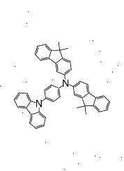 CC1(C)c2ccccc2-c2cc(N(c3ccc(-n4c5ccccc5c5ccccc54)cc3)c3ccc4c(c3)C(C)(C)c3ccccc3-4)ccc21